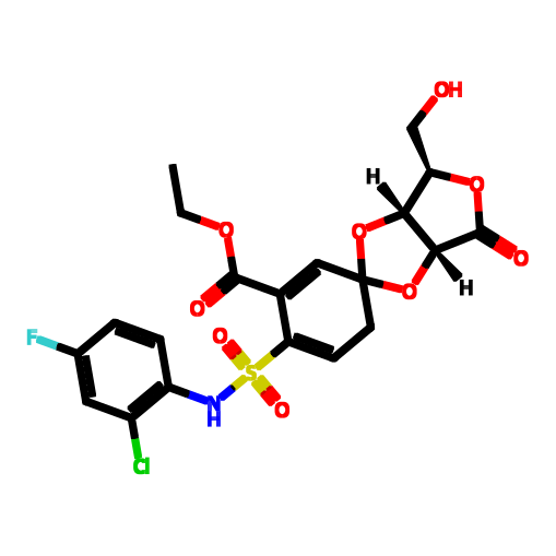 CCOC(=O)C1=CC2(CC=C1S(=O)(=O)Nc1ccc(F)cc1Cl)O[C@@H]1[C@@H](CO)OC(=O)[C@@H]1O2